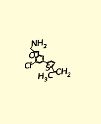 C=C(C)c1ccc(-c2cc(Cl)c3oc(CN)cc3c2)s1